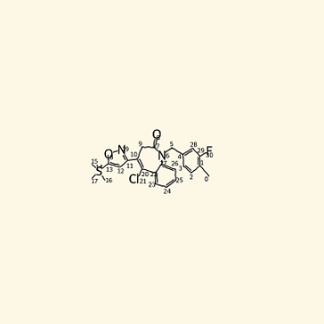 Cc1ccc(CN2C(=O)CC(c3cc(S(C)(C)C)on3)=C(Cl)c3ccccc32)cc1F